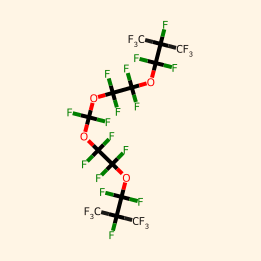 FC(F)(OC(F)(F)C(F)(F)OC(F)(F)C(F)(C(F)(F)F)C(F)(F)F)OC(F)(F)C(F)(F)OC(F)(F)C(F)(C(F)(F)F)C(F)(F)F